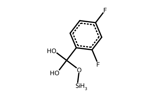 OC(O)(O[SiH3])c1ccc(F)cc1F